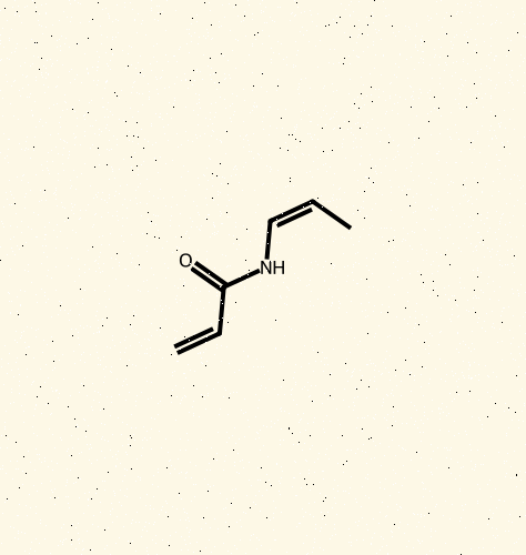 C=CC(=O)N/C=C\C